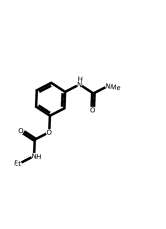 CCNC(=O)Oc1cccc(NC(=O)NC)c1